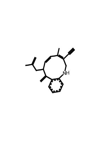 C#C/C1=C(C)/C=C\C(CC(=C)C)C(=C)c2ccccc2NC1